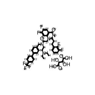 CCN(CC)CCN(Cc1ccc(-c2ccc(C(F)(F)F)cc2)cc1)C(=O)Cn1c(CCc2cccc(F)c2F)nc(=O)c2cc(F)c(F)cc21.O=C(O)C(O)C(O)C(=O)O